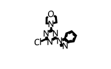 Clc1nc(N2CCOCC2)nc(-n2cnc3ccccc32)n1